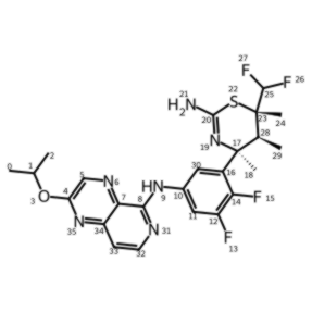 CC(C)Oc1cnc2c(Nc3cc(F)c(F)c([C@@]4(C)N=C(N)S[C@](C)(C(F)F)[C@H]4C)c3)nccc2n1